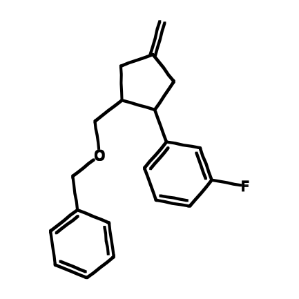 C=C1CC(COCc2ccccc2)C(c2cccc(F)c2)C1